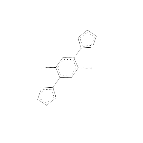 Brc1cc(-c2cccs2)c(Br)cc1-c1cccs1